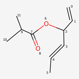 C=CC(C=CC)OC(=O)C(C)C